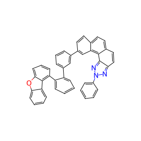 c1ccc(-n2nc3ccc4ccc5ccc(-c6cccc(-c7ccccc7-c7cccc8oc9ccccc9c78)c6)cc5c4c3n2)cc1